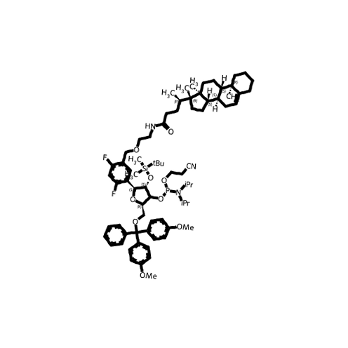 COc1ccc(C(OC[C@H]2O[C@@H](c3cc(COCCNC(=O)CC[C@@H](C)[C@@]4(C)CC[C@H]5[C@@H]6CC=C7CCCC[C@]7(C)[C@H]6CC[C@@]54C)c(F)cc3F)[C@H](O[Si](C)(C)C(C)(C)C)C2OP(OCCC#N)N(C(C)C)C(C)C)(c2ccccc2)c2ccc(OC)cc2)cc1